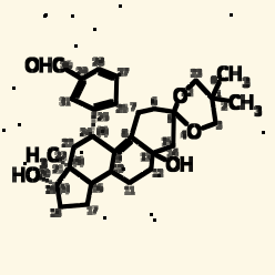 CC1(C)COC2(CCC3=C4C(CCC3(O)C2)C2CC[C@H](O)[C@@]2(C)C[C@@H]4c2cccc(C=O)c2)OC1